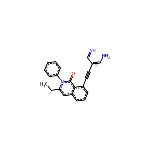 CCc1cc2cccc(C#C/C(C=N)=C/N)c2c(=O)n1-c1ccccc1